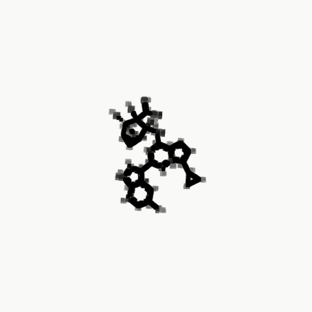 O=C(O)[C@@H]1[C@@H](Nc2nc(-c3n[nH]c4ncc(F)cc34)nn3c(C4CC4)ccc23)C23CC[C@H]1C(C2)C3